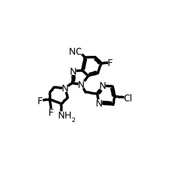 N#Cc1cc(F)cc2c1nc(N1CCC(F)(F)C(N)C1)n2Cc1ncc(Cl)cn1